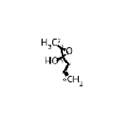 C=CCC1(O)OC1C